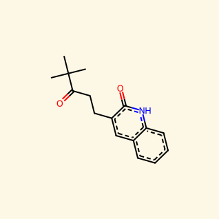 CC(C)(C)C(=O)CCc1cc2ccccc2[nH]c1=O